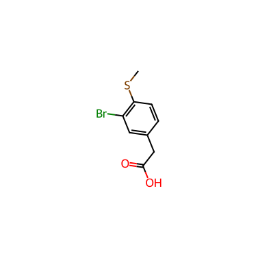 CSc1ccc(CC(=O)O)cc1Br